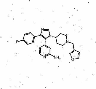 Nc1nccc(-c2c(-c3ccc(F)cc3)ncn2C2CCN(Cc3ccon3)CC2)n1